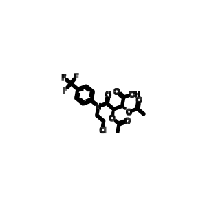 CC(=O)O[C@@H](C(=O)O)[C@@H](OC(C)=O)C(=O)N(CCCl)c1ccc(C(F)(F)F)cc1